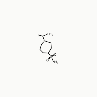 CC(I)N1CCCC(S(N)(=O)=O)CC1